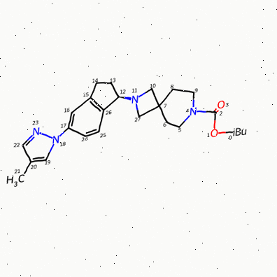 CCC(C)OC(=O)N1CCC2(CC1)CN([C@@H]1CCc3cc(-n4cc(C)cn4)ccc31)C2